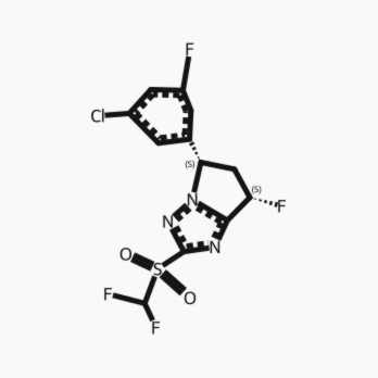 O=S(=O)(c1nc2n(n1)[C@H](c1cc(F)cc(Cl)c1)C[C@@H]2F)C(F)F